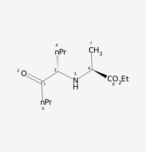 CCCC(=O)[C@H](CCC)N[C@@H](C)C(=O)OCC